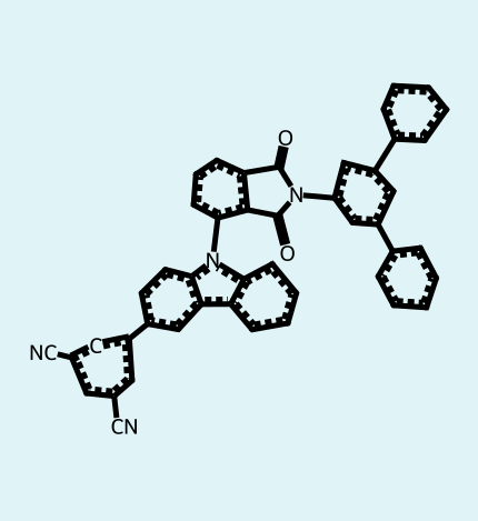 N#Cc1cc(C#N)cc(-c2ccc3c(c2)c2ccccc2n3-c2cccc3c2C(=O)N(c2cc(-c4ccccc4)cc(-c4ccccc4)c2)C3=O)c1